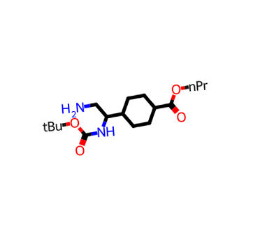 CCCOC(=O)C1CCC(C(CN)NC(=O)OC(C)(C)C)CC1